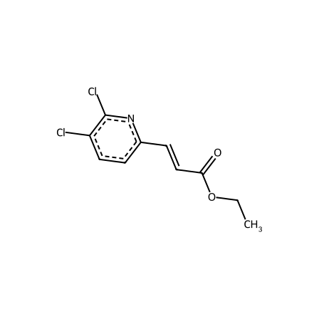 CCOC(=O)C=Cc1ccc(Cl)c(Cl)n1